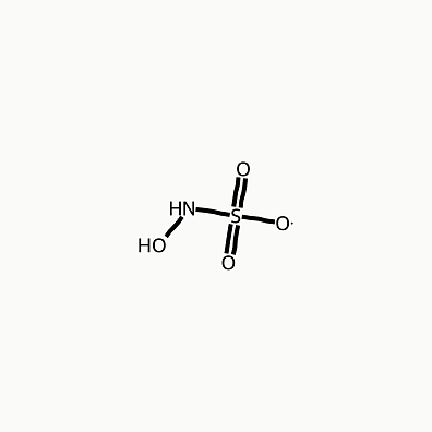 [O]S(=O)(=O)NO